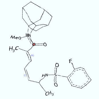 COC(=O)C12CC3CC(C1)C(NC(=O)/C(C)=C/C=C\C(C)NS(=O)(=O)c1ccccc1F)C(C3)C2